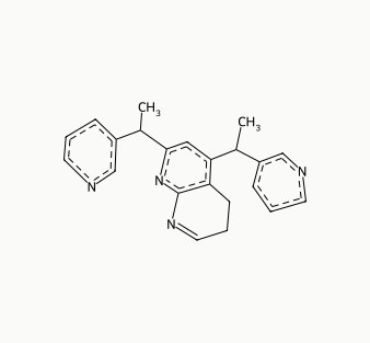 CC(c1cccnc1)c1cc(C(C)c2cccnc2)c2c(n1)N=CCC2